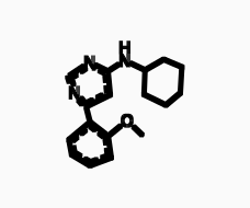 COc1ccccc1-c1cc(NC2CCCCC2)ncn1